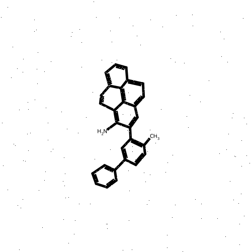 Cc1ccc(-c2ccccc2)cc1-c1cc2ccc3cccc4ccc(c1N)c2c34